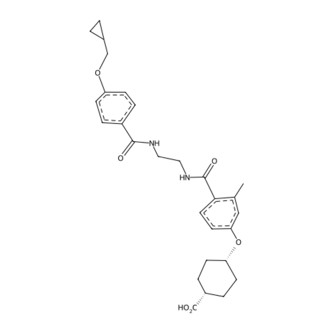 Cc1cc(O[C@H]2CC[C@@H](C(=O)O)CC2)ccc1C(=O)NCCNC(=O)c1ccc(OCC2CC2)cc1